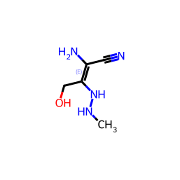 CNN/C(CO)=C(/N)C#N